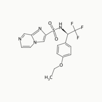 CCOc1ccc([C@@H](NS(=O)(=O)c2cn3ccncc3n2)C(F)(F)F)cc1